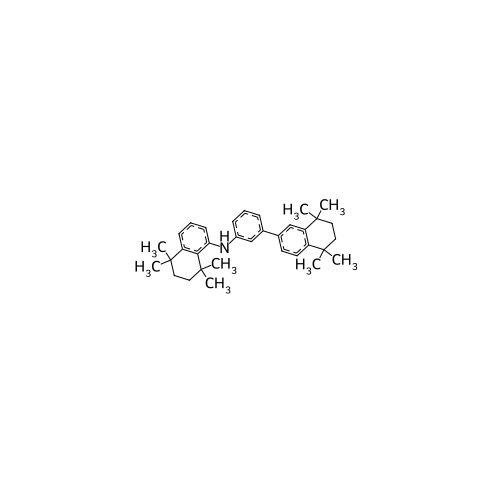 CC1(C)CCC(C)(C)c2cc(-c3cccc(Nc4cccc5c4C(C)(C)CCC5(C)C)c3)ccc21